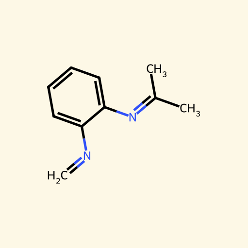 C=Nc1ccccc1N=C(C)C